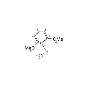 COc1[c]ccc(OC)c1CN